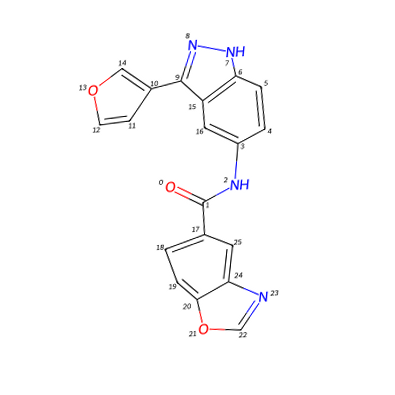 O=C(Nc1ccc2[nH]nc(-c3ccoc3)c2c1)c1ccc2ocnc2c1